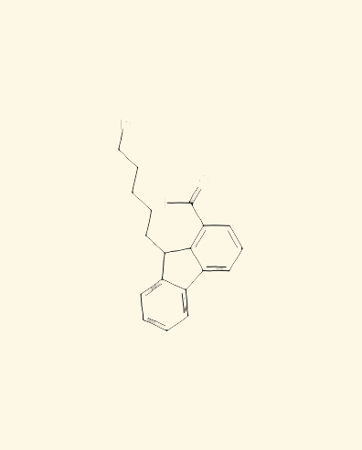 O=C(Cl)c1cccc2c1C(CCCCCBr)c1ccccc1-2